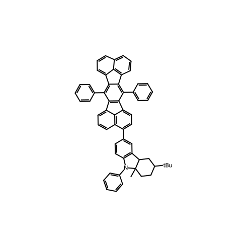 CC(C)(C)C1CCC2(C)C(C1)c1cc(-c3ccc4c5c(-c6ccccc6)c6c7cccc8cccc(c6c(-c6ccccc6)c5c5cccc3c54)c87)ccc1N2c1ccccc1